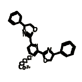 [Cl-].[Cl-].[Cl-].[Co+3].c1ccc(C2COC(c3cccc(C4=NC(c5ccccc5)CO4)n3)=N2)cc1